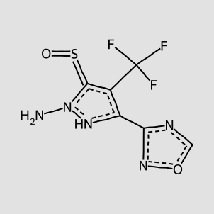 Nn1[nH]c(-c2ncon2)c(C(F)(F)F)c1=S=O